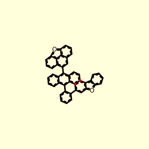 c1ccc(-c2c3ccccc3c(-c3cc4cccc5oc6cccc3c6c45)c3ccccc23)c(-c2ccc3c(c2)oc2ccccc23)c1